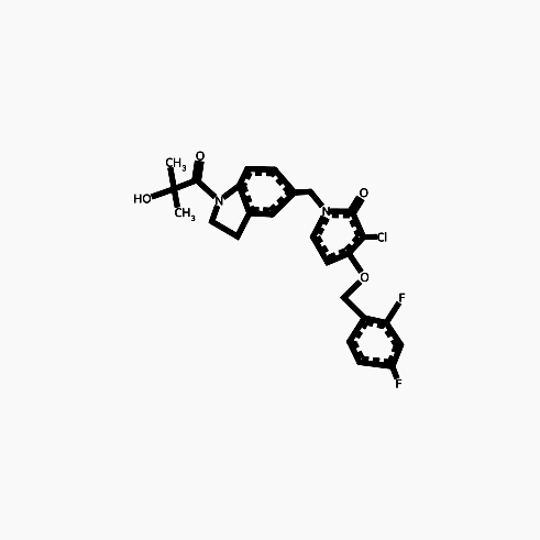 CC(C)(O)C(=O)N1CCc2cc(Cn3ccc(OCc4ccc(F)cc4F)c(Cl)c3=O)ccc21